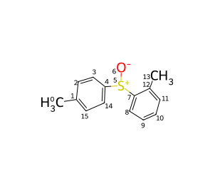 Cc1ccc([S+]([O-])c2ccccc2C)cc1